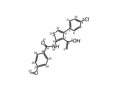 C=C(O)c1c(-c2ccc(Cl)cc2)csc1NC(=O)c1ccc(OC)cc1